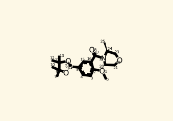 COc1ccc(B2OC(C)(C)C(C)(C)O2)cc1C(=O)N1CCOC[C@@H]1C